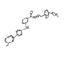 Cc1ccc(CCNC(=O)c2cccc(Nc3ncc(-c4cccc(F)c4)cn3)c2)o1